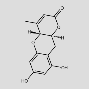 CC1=CC(=O)O[C@H]2Cc3c(O)cc(O)cc3O[C@H]12